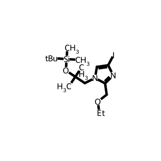 CCOCc1nc(I)cn1CC(C)(C)O[Si](C)(C)C(C)(C)C